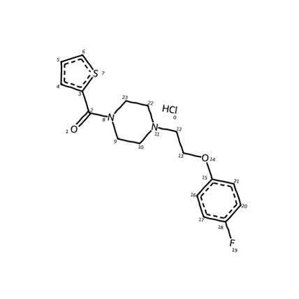 Cl.O=C(c1cccs1)N1CCN(CCOc2ccc(F)cc2)CC1